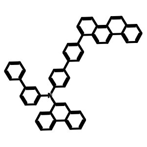 c1ccc(-c2cccc(N(c3ccc(-c4ccc(-c5cccc6c5ccc5c7ccccc7ccc65)cc4)cc3)c3cc4ccccc4c4ccccc34)c2)cc1